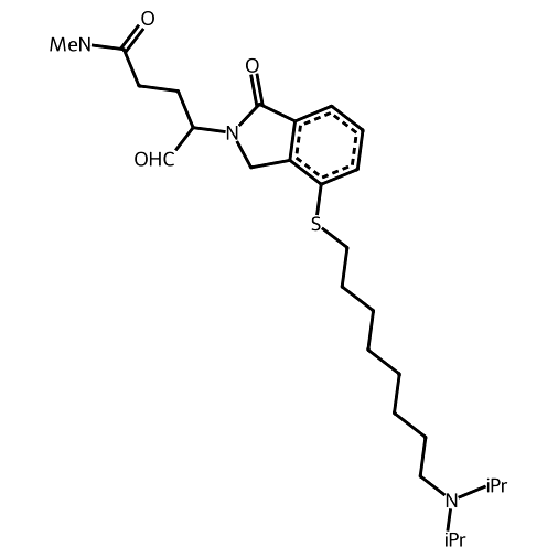 CNC(=O)CCC(C=O)N1Cc2c(SCCCCCCCCN(C(C)C)C(C)C)cccc2C1=O